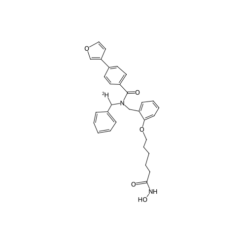 [2H]C(c1ccccc1)N(Cc1ccccc1OCCCCCC(=O)NO)C(=O)c1ccc(-c2ccoc2)cc1